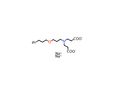 CC(C)CCCOCCCN(CCC(=O)[O-])CCC(=O)[O-].[Na+].[Na+]